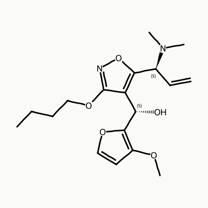 C=C[C@@H](c1onc(OCCCC)c1[C@H](O)c1occc1OC)N(C)C